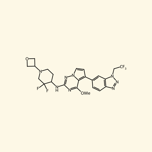 COc1nc(NC2CCN(C3COC3)CC2(F)F)nn2ccc(-c3ccc4nnn(CC(F)(F)F)c4c3)c12